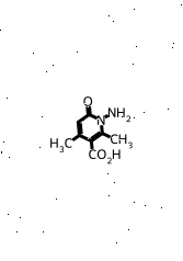 Cc1cc(=O)n(N)c(C)c1C(=O)O